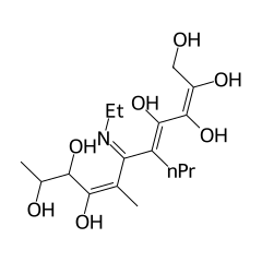 CCCC(=C(O)C(/O)=C(/O)CO)C(=N\CC)/C(C)=C(/O)C(O)C(C)O